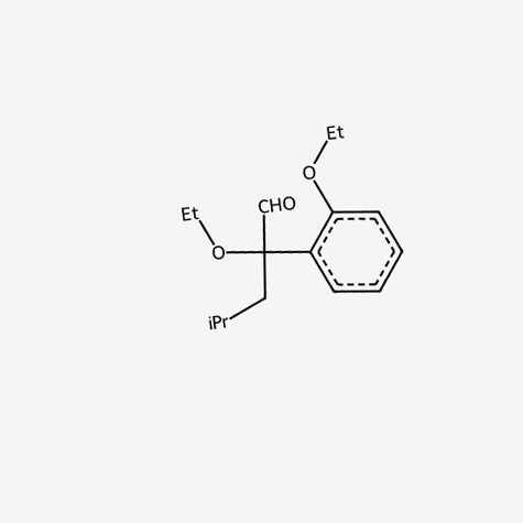 CCOc1ccccc1C(C=O)(CC(C)C)OCC